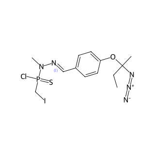 CCC(C)(N=[N+]=[N-])Oc1ccc(/C=N/N(C)P(=S)(Cl)CI)cc1